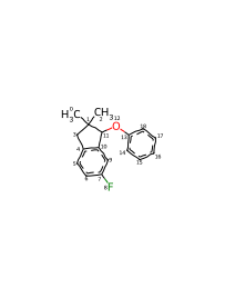 CC1(C)Cc2ccc(F)cc2C1Oc1ccccc1